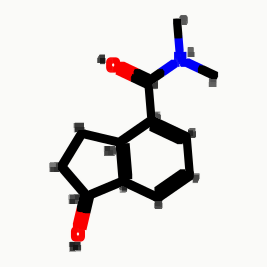 CN(C)C(=O)c1cccc2c1CCC2=O